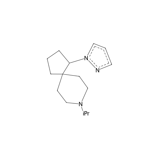 CC(C)N1CCC2(CCCC2n2cccn2)CC1